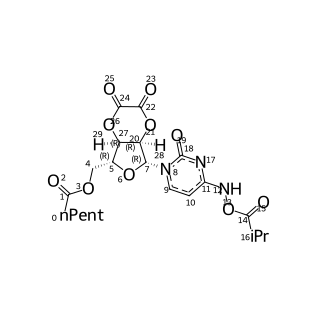 CCCCCC(=O)OC[C@H]1O[C@@H](n2ccc(NOC(=O)C(C)C)nc2=O)[C@@H]2OC(=O)C(=O)O[C@@H]21